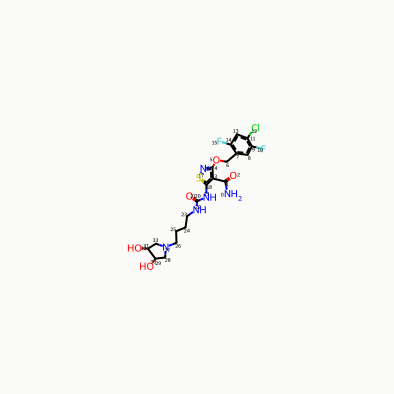 NC(=O)c1c(OCc2cc(F)c(Cl)cc2F)nsc1NC(=O)NCCCCN1CC(O)C(O)C1